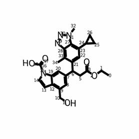 CCOC(=O)CC(c1cc(CO)c2ccn(C(=O)O)c2c1)c1cc(C2CC2)c2c(nnn2C)c1C